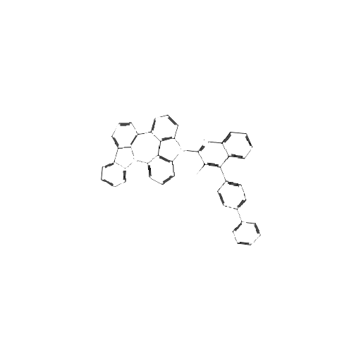 Cc1c(-n2c3cccc4c5cccc6c7ccccc7n(c7cccc2c7c43)c56)nc2ccccc2c1-c1ccc(-c2ccccc2)cc1